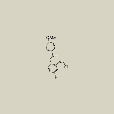 COc1ccc(NCc2ccc(F)cc2/C=C\Cl)cc1